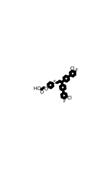 O=C(O)COc1ccc(SCC=C(c2ccc(-c3ccc(F)c(Cl)c3)cc2)c2ccc(-c3ccc(F)c(Cl)c3)cc2)cc1